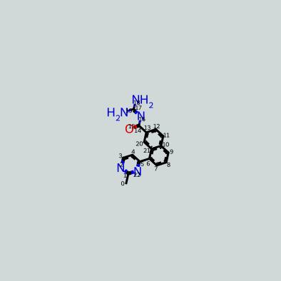 Cc1nccc(-c2cccc3ccc(C(=O)N=C(N)N)cc23)n1